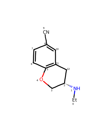 CCN[C@@H]1COc2ccc(C#N)cc2C1